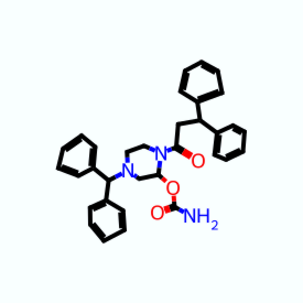 NC(=O)OC1CN(C(c2ccccc2)c2ccccc2)CCN1C(=O)CC(c1ccccc1)c1ccccc1